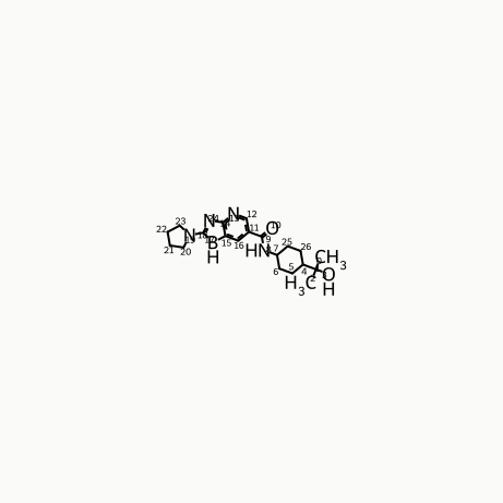 CC(C)(O)C1CCC(NC(=O)c2cnc3c(c2)BC(N2CCCC2)=N3)CC1